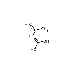 C[11CH](C)[11CH]=C(O)O